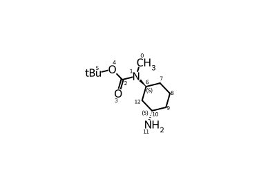 CN(C(=O)OC(C)(C)C)[C@H]1CCC[C@H](N)C1